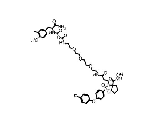 Cc1cc(CC(NC(=O)OC(=O)NCCOCCOCCOCCNC(=O)CCN(C2(C(=O)NO)CCCC2)S(=O)(=O)c2ccc(Oc3ccc(F)cc3)cc2)C(N)=O)ccc1O